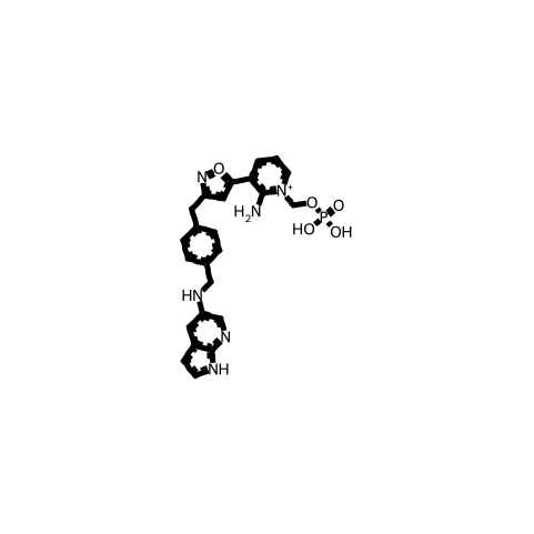 Nc1c(-c2cc(Cc3ccc(CNc4cnc5[nH]ccc5c4)cc3)no2)ccc[n+]1COP(=O)(O)O